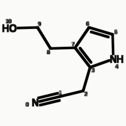 N#CCc1[nH]ccc1CCO